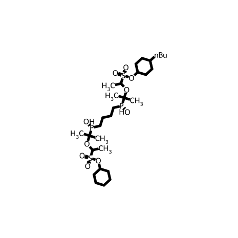 CCCCC1CCC(OS(=O)(=O)C(C)OC(C)(C)[PH](=O)CCCC[PH](=O)C(C)(C)OC(C)S(=O)(=O)OC2CCCCC2)CC1